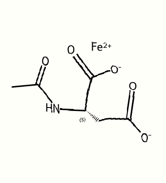 CC(=O)N[C@@H](CC(=O)[O-])C(=O)[O-].[Fe+2]